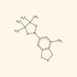 Cc1cc(B2OC(C)(C)C(C)(C)O2)cc2c1COC2